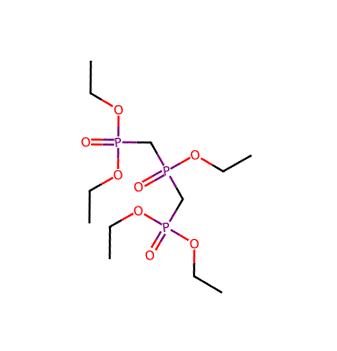 CCOP(=O)(CP(=O)(OCC)OCC)CP(=O)(OCC)OCC